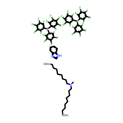 CCCCCCCCCCCCCCCCCCN(C)CCCCCCCCCCCCCCCCCC.Fc1c(F)c(F)c(B(c2c(F)c(F)c(F)c(F)c2F)c2c(F)c(F)c(F)c(F)c2F)c(F)c1F.Fc1c(F)c(F)c(B(c2c(F)c(F)c(F)c(F)c2F)c2c(F)c(F)c(F)c(F)c2F)c(F)c1F.c1ccc2[nH]cnc2c1